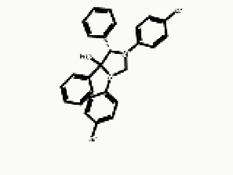 OC1(c2ccccc2)[C@H](c2ccccc2)N(c2ccc(Br)cc2)CN1c1ccc(Br)cc1